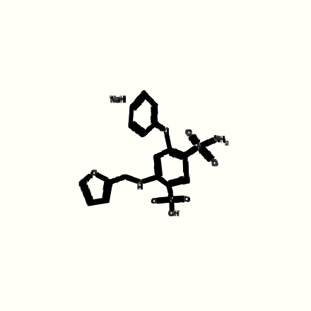 NS(=O)(=O)c1cc(S(=O)(=O)O)c(NCc2ccco2)cc1Oc1ccccc1.[NaH]